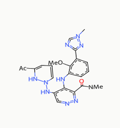 CNC(=O)c1nncc(NN2C=CC=C(C(C)=O)N2)c1Nc1cccc(-c2ncn(C)n2)c1OC